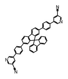 N#Cc1cncc(-c2ccc(-c3ccc4c(c3)C3(c5ccccc5-c5ccccc53)c3cc(-c5ccc(-c6cncc(C#N)c6)cc5)ccc3-4)cc2)c1